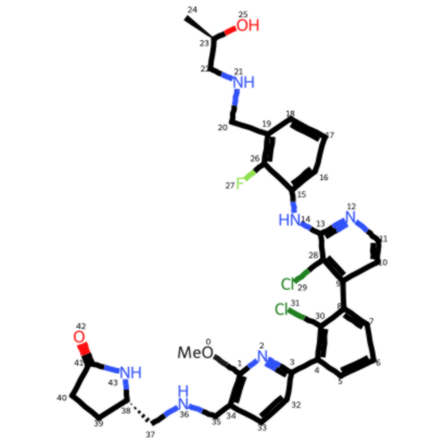 COc1nc(-c2cccc(-c3ccnc(Nc4cccc(CNC[C@@H](C)O)c4F)c3Cl)c2Cl)ccc1CNC[C@@H]1CCC(=O)N1